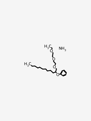 CCCCCCCCCCC(COCCOCCOCC)Oc1ccccc1.N